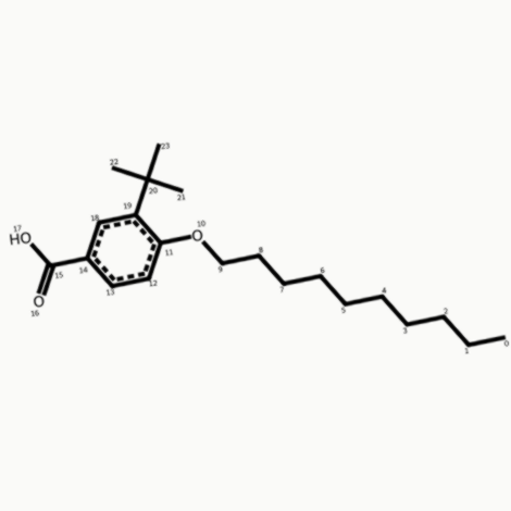 CCCCCCCCCCOc1ccc(C(=O)O)cc1C(C)(C)C